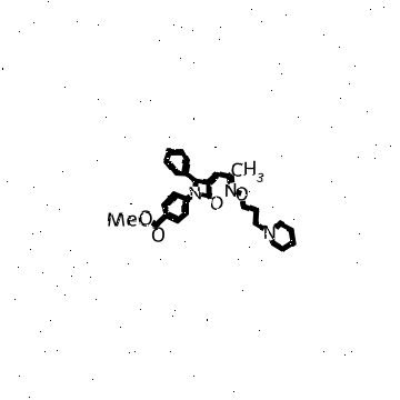 COC(=O)c1ccc(N2C(=O)C(=CC(C)=NOCCCN3CCCCC3)C2c2ccccc2)cc1